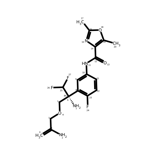 C=C(N)COC[C@](N)(c1cc(NC(=O)c2nc(C)oc2C)ccc1F)C(F)F